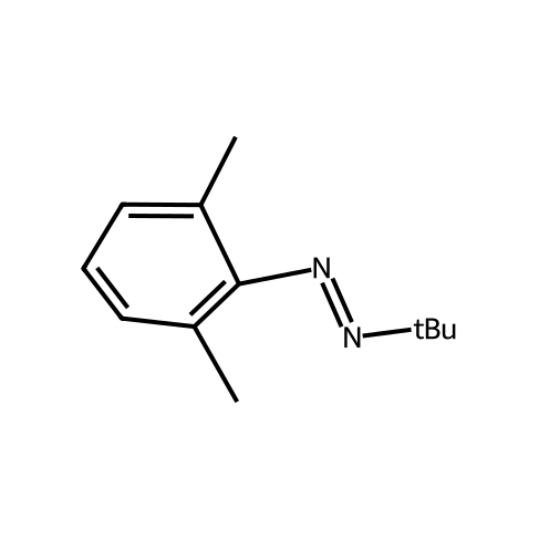 Cc1cccc(C)c1N=NC(C)(C)C